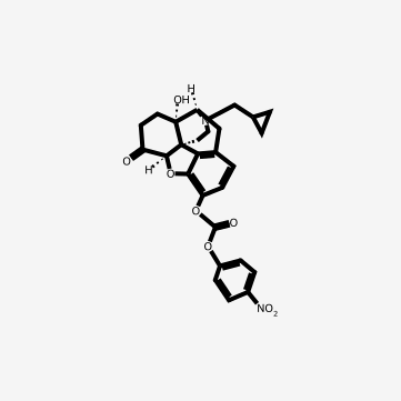 O=C(Oc1ccc([N+](=O)[O-])cc1)Oc1ccc2c3c1O[C@H]1C(=O)CC[C@@]4(O)[C@@H](C2)N(CC2CC2)CC[C@]314